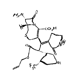 C=CCOC(=O)C(C(=C1CCNC1=O)C1=C(C(=O)O)N2C(=O)[C@@H](N)[C@H]2SC1)[C@@H]1CNC[C@@H]1C(F)(F)F